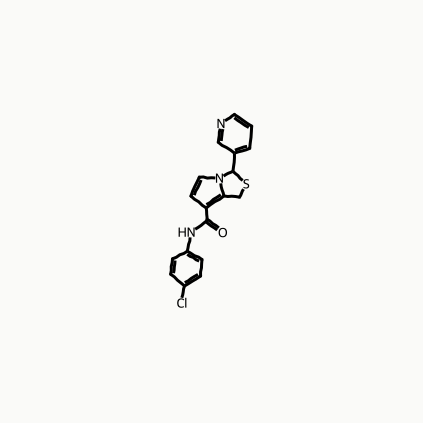 O=C(Nc1ccc(Cl)cc1)c1ccn2c1CSC2c1cccnc1